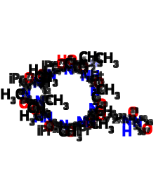 C/C=C/C[C@@H](C)[C@@H](O)[C@@H]1C(=O)N[C@@H](CC)C(=O)N(C)CC(=O)N(C)[C@@H]([C@@H](C)OCCCCNC(=O)N2CCOCC2)C(=O)N[C@@H](C(C)C)C(=O)N(C)[C@@H](CC(C)C)C(=O)N[C@@H](C)C(=O)N2C(C)C[C@@H](C(=O)N(C)[C@@H](C(C)C)C(=O)N1C)N(C)C(=O)[C@H](CC(C)C)N(C)C(=O)[C@H]2C